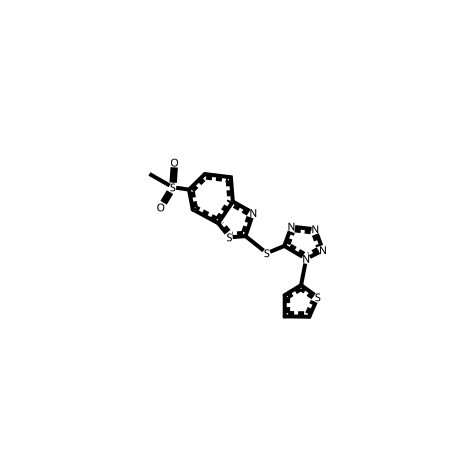 CS(=O)(=O)c1ccc2nc(Sc3nnnn3-c3cccs3)sc2c1